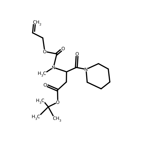 C=CCOC(=O)N(C)C(CC(=O)OC(C)(C)C)C(=O)N1CCCCC1